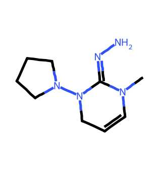 CN1C=CCN(N2CCCC2)C1=NN